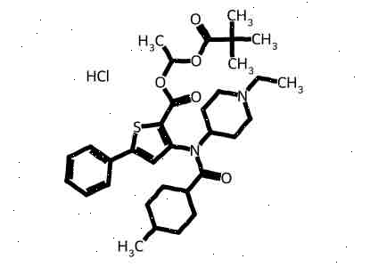 CCN1CCC(N(C(=O)C2CCC(C)CC2)c2cc(-c3ccccc3)sc2C(=O)OC(C)OC(=O)C(C)(C)C)CC1.Cl